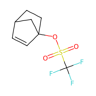 O=S(=O)(OC12C=CC(CC1)C2)C(F)(F)F